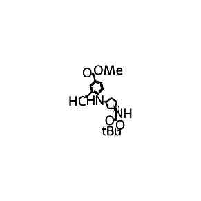 C#Cc1cc(C(=O)OC)ccc1NC1CC[C@@H](NC(=O)OC(C)(C)C)C1